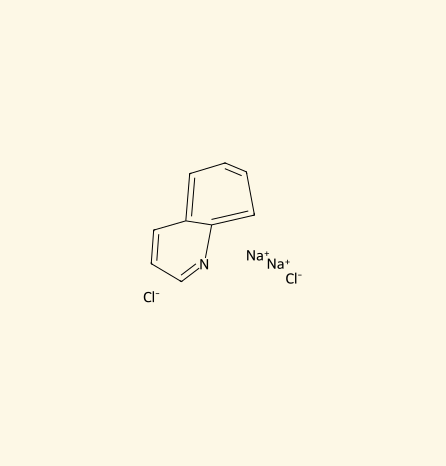 [Cl-].[Cl-].[Na+].[Na+].c1ccc2ncccc2c1